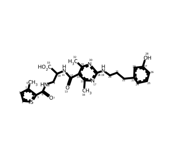 Cc1ccsc1C(=O)NCC(NC(=O)c1c(C)nc(NCCCc2cccc(O)c2)nc1C)C(=O)O